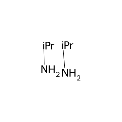 CC(C)N.CC(C)N